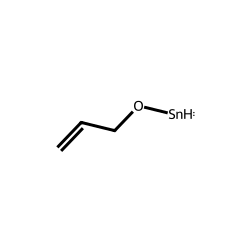 C=CC[O][SnH]